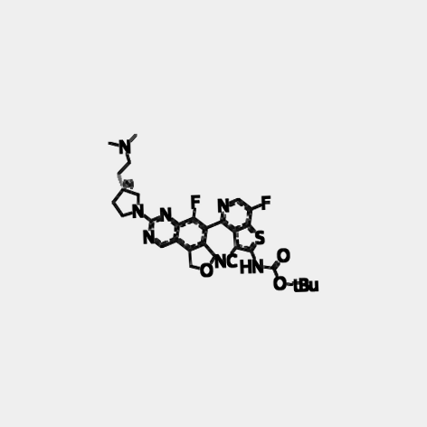 CN(C)CC[C@H]1CCN(c2ncc3c4c(c(-c5ncc(F)c6sc(NC(=O)OC(C)(C)C)c(C#N)c56)c(F)c3n2)COC4)C1